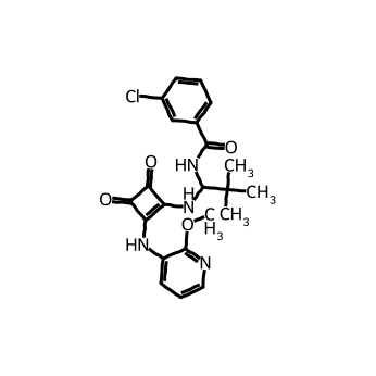 COc1ncccc1Nc1c(NC(NC(=O)c2cccc(Cl)c2)C(C)(C)C)c(=O)c1=O